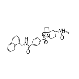 C=CC(=O)NC1CCN(S(=O)(=O)c2ccc(C(=O)NCc3cccc4ccccc34)cc2)C2(CCC2)C1